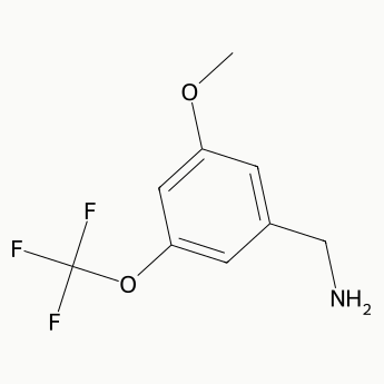 COc1cc(CN)cc(OC(F)(F)F)c1